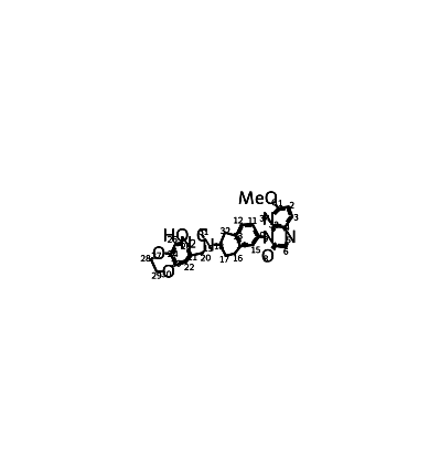 COc1ccc2ncc(=O)n(-c3ccc4c(c3)CCC(N(Cc3cc5c(cn3)OCCO5)C(=O)O)C4)c2n1